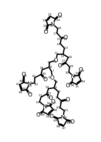 O=C(CCC(COCC(COCC(CCC(=O)CCN1C(=O)C=CC1=O)CC(=O)CCN1C(=O)C=CC1=O)CC(=O)CCN1C(=O)C=CC1=O)CC(=O)CCN1C(=O)C=CC1=O)CCN1C(=O)C=CC1=O